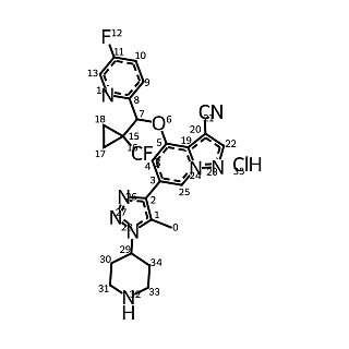 Cc1c(-c2cc(OC(c3ccc(F)cn3)C3(C(F)(F)F)CC3)c3c(C#N)cnn3c2)nnn1C1CCNCC1.Cl